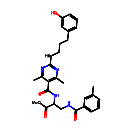 COC(=O)C(CNC(=O)c1cccc(C)c1)NC(=O)c1c(C)nc([AsH]CCCc2cccc(O)c2)nc1C